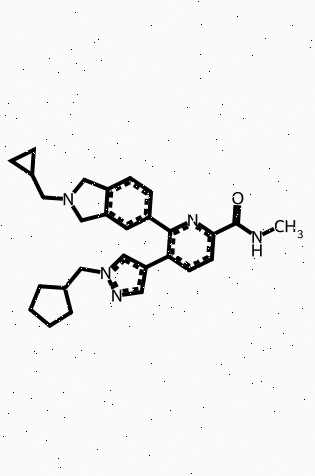 CNC(=O)c1ccc(-c2cnn(CC3CCCC3)c2)c(-c2ccc3c(c2)CN(CC2CC2)C3)n1